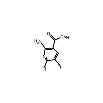 COC(=O)c1cc(F)c(Cl)nc1N